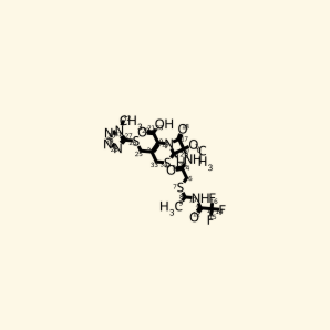 CO[C@@]1(NC(=O)CSC(C)NC(=O)C(F)(F)F)C(=O)N2C(C(=O)O)=C(CSc3nnnn3C)CS[C@@H]21